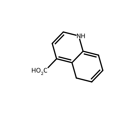 O=C(O)C1=C2CC=CC=C2NC=C1